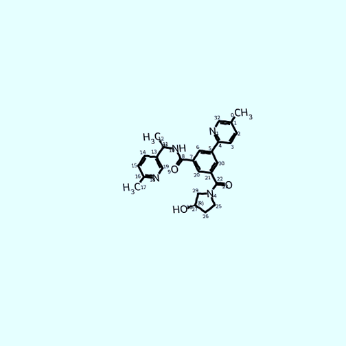 Cc1ccc(-c2cc(C(=O)N[C@H](C)c3ccc(C)nc3)cc(C(=O)N3CC[C@@H](O)C3)c2)nc1